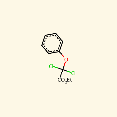 CCOC(=O)C(Cl)(Cl)Oc1ccccc1